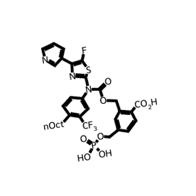 CCCCCCCCc1ccc(N(C(=O)OCc2cc(COP(=O)(O)O)ccc2C(=O)O)c2nc(-c3cccnc3)c(F)s2)cc1C(F)(F)F